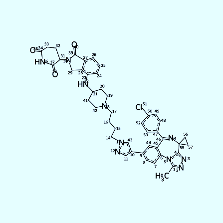 Cc1nnc2n1-c1ccc(-c3cnn(CCCCN4CCC(Nc5cccc6c5CN(C5CCC(=O)NC5=O)C6=O)CC4)c3)cc1C(c1ccc(Cl)cc1)=NC21CC1